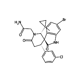 CC1([C@H]2N(CC(N)=O)C(=O)C[C@@H](c3cccc(Cl)c3)[C@]23C(=O)Nc2cc(Br)ccc23)CC1